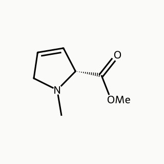 COC(=O)[C@H]1C=CCN1C